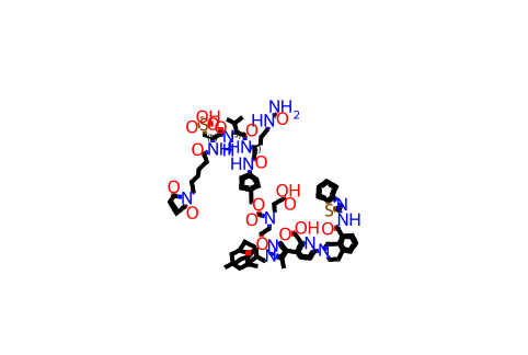 Cc1c(-c2ccc(N3CCc4cccc(C(=O)Nc5nc6ccccc6s5)c4C3)nc2C(=O)O)cnn1CC1C2(C)CC3CC(C)(C2)CC1(OCCN(CCC(=O)O)C(=O)OCc1ccc(NC(=O)[C@H](CCCNC(N)=O)NC(=O)[C@@H](NC(=O)[C@H](CS(=O)(=O)O)NC(=O)CCCCCN2C(=O)C=CC2=O)C(C)C)cc1)C3